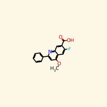 COc1cc(-c2ccccc2)nc2cc(C(=O)O)c(F)cc12